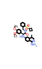 CCOc1cc(C(Nc2ccc3c(N)ncc(C)c3c2)C(=O)N(C)Cc2ccccc2S(=O)(=O)C2CCC2)ccc1OC(C)C